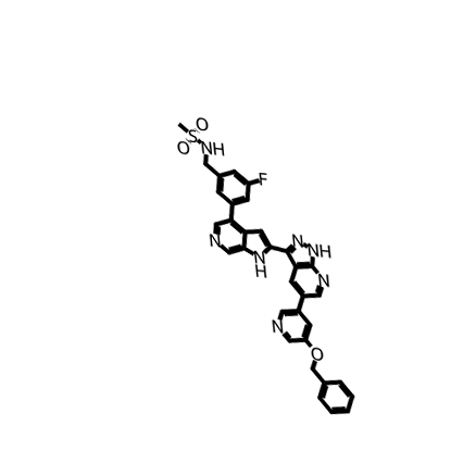 CS(=O)(=O)NCc1cc(F)cc(-c2cncc3[nH]c(-c4n[nH]c5ncc(-c6cncc(OCc7ccccc7)c6)cc45)cc23)c1